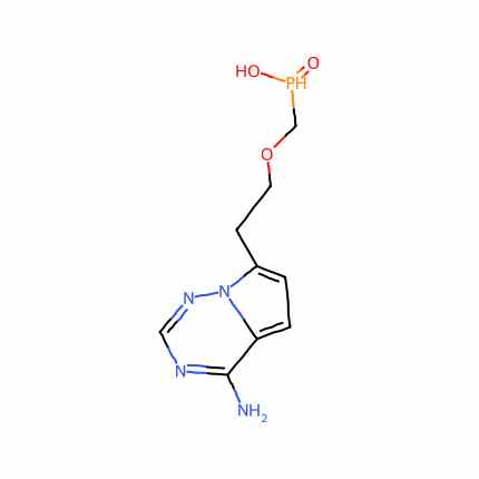 Nc1ncnn2c(CCOC[PH](=O)O)ccc12